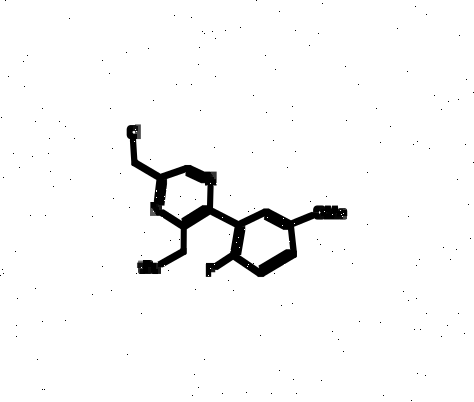 COc1ccc(F)c(-c2ncc(CCl)nc2CC(C)(C)C)c1